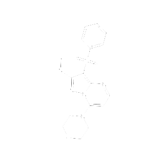 CNc1nn2c(N3CCOCC3)ccnc2c1S(=O)(=O)c1ccccc1